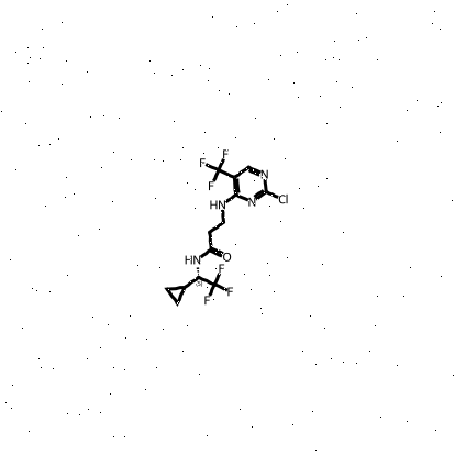 O=C(CCNc1nc(Cl)ncc1C(F)(F)F)N[C@@H](C1CC1)C(F)(F)F